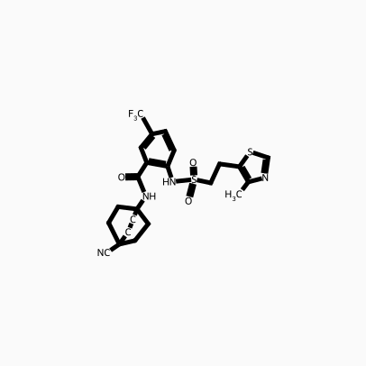 Cc1ncsc1CCS(=O)(=O)Nc1ccc(C(F)(F)F)cc1C(=O)NC12CCC(C#N)(CC1)CC2